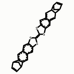 C1=CC2CC1c1cc3cc4c(cc3cc12)SC(=C1Sc2cc3c(cc2S1)=CC1C2C=CC(C2)C1C=3)S4